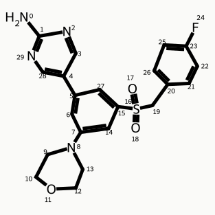 Nc1ncc(-c2cc(N3CCOCC3)cc(S(=O)(=O)Cc3ccc(F)cc3)c2)cn1